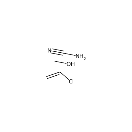 C=CCl.CO.N#CN